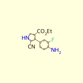 CCOC(=O)c1c[nH]c(C#N)c1-c1ccc(N)c(F)c1